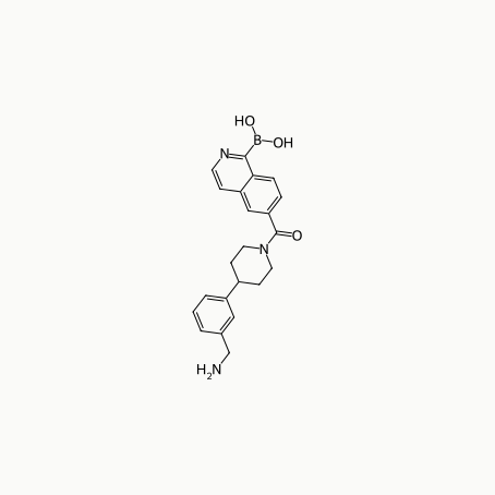 NCc1cccc(C2CCN(C(=O)c3ccc4c(B(O)O)nccc4c3)CC2)c1